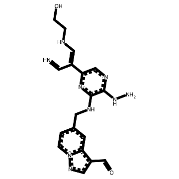 N=C/C(=C\NCCO)c1cnc(NN)c(NCc2ccn3ncc(C=O)c3c2)n1